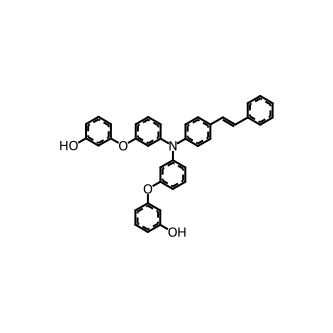 Oc1cccc(Oc2cccc(N(c3ccc(C=Cc4ccccc4)cc3)c3cccc(Oc4cccc(O)c4)c3)c2)c1